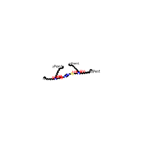 CCCCC/C=C\C/C=C\CCCCCCC(O)CN(CCCCSSCCN1CCN(CCOC(=O)CCCN(CC(O)CCCCCC/C=C\C/C=C\CCCCC)CC(O)CCCCCC/C=C\C/C=C\CCCCC)CC1)CC(O)CCCCCC/C=C\C/C=C\CCCCC